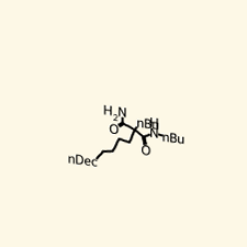 CCCCCCCCCCCCCCC(CCCC)(C(N)=O)C(=O)NCCCC